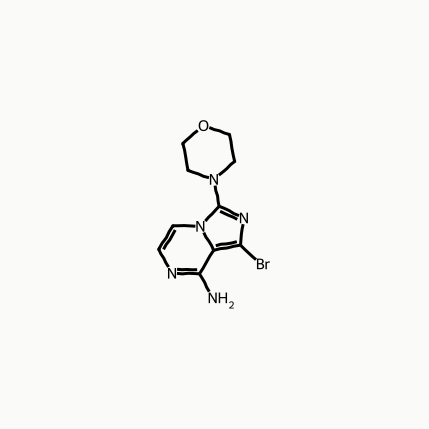 Nc1nccn2c(N3CCOCC3)nc(Br)c12